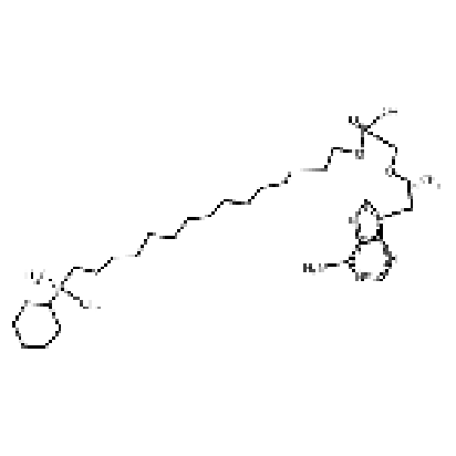 C[C@H](Cn1cnc2c(N)ncnc21)OCP(=O)(O)OCCOCCCCCCCCCCCC[Si](C)(C)C1CCCCC1